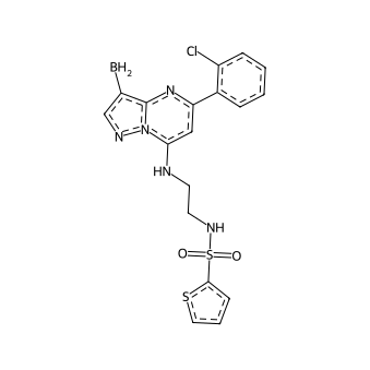 Bc1cnn2c(NCCNS(=O)(=O)c3cccs3)cc(-c3ccccc3Cl)nc12